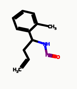 C=CCC(NP=O)c1ccccc1C